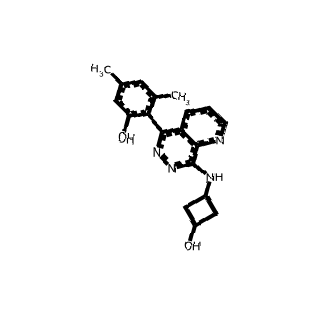 Cc1cc(C)c(-c2nnc(NC3CC(O)C3)c3ncccc23)c(O)c1